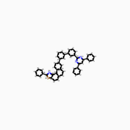 c1ccc(-c2cc(-c3ccccc3)nc(-c3cccc(-c4cccc(-c5ccc6c(ccc7ccc8sc(-c9ccccc9)nc8c76)c5)c4)c3)n2)cc1